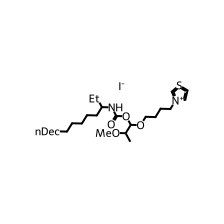 CCCCCCCCCCCCCCCC(CC)NC(=O)OC(OCCCC[n+]1ccsc1)C(C)OC.[I-]